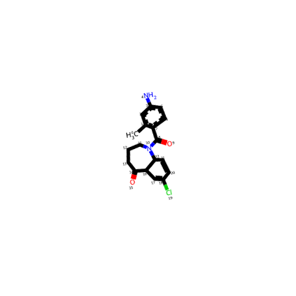 Cc1cc(N)ccc1C(=O)N1CCCC(=O)C2C=C(Cl)C=CC21